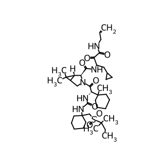 C=CCNC(=O)C(=O)C(CC1CC1)NC(=O)[C@@H]1[C@@H]2C(CN1C(=O)[C@@H](NC(=O)NC1(CS(=O)(=O)C(C)(C)CC)CCCCC1)C1(C)CCCCC1)C2(C)C